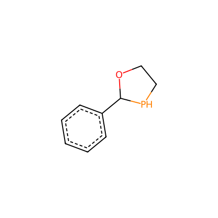 c1ccc(C2OCCP2)cc1